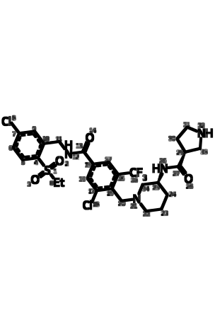 CCS(=O)(=O)c1ccc(Cl)cc1CNC(=O)c1cc(Cl)c(CN2CCC[C@H](NC(=O)[C@H]3CCNC3)C2)c(C(F)(F)F)c1